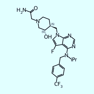 CC(C)N(Cc1ccc(C(F)(F)F)cc1)c1ncnc2c1c(F)cn2C[C@@H]1CCN(CC(N)=O)C[C@H]1O